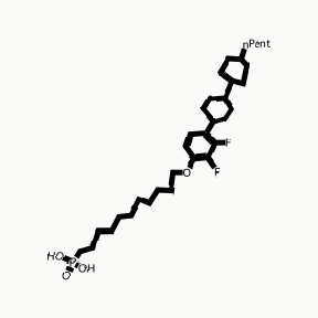 CCCCCC1CCC(C2CCC(c3ccc(OCCCCCCCCCCCP(=O)(O)O)c(F)c3F)CC2)CC1